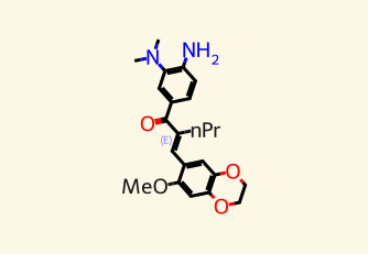 CCC/C(=C\c1cc2c(cc1OC)OCCO2)C(=O)c1ccc(N)c(N(C)C)c1